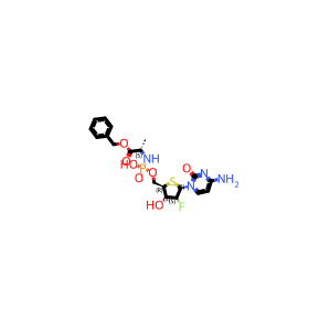 C[C@H](NP(=O)(O)OC[C@H]1S[C@@H](n2ccc(N)nc2=O)[C@@H](F)[C@@H]1O)C(=O)OCc1ccccc1